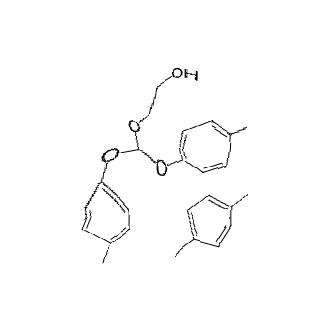 Cc1ccc(C)cc1.Cc1ccc(OC(OCCO)Oc2ccc(C)cc2)cc1